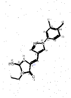 CCN1C(=O)/C(=C/c2cnn(-c3ccc(C)c(C)c3)c2)SC1S